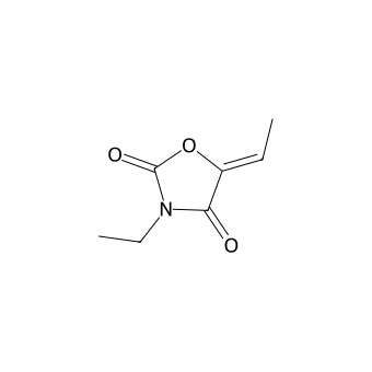 C/C=C1\OC(=O)N(CC)C1=O